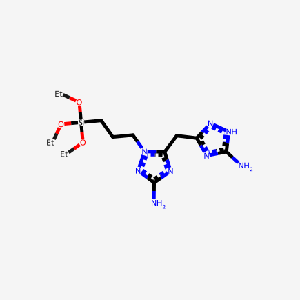 CCO[Si](CCCn1nc(N)nc1Cc1n[nH]c(N)n1)(OCC)OCC